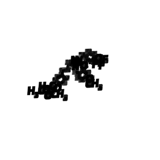 COC(=O)C(C)(C)Oc1ccc(CCCc2nn(Cc3ccc(OC(F)(F)F)cc3)c(=O)n2Cc2ccc(OC)cc2)cc1